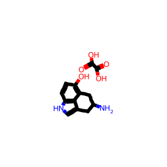 NC1Cc2c[nH]c3ccc(O)c(c23)C1.O=C(O)C(=O)O